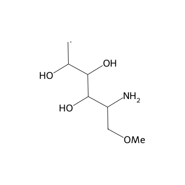 [CH2]C(O)C(O)C(O)C(N)COC